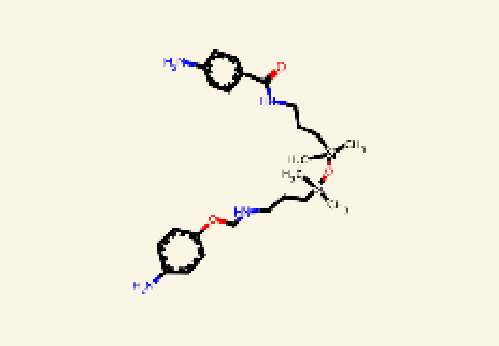 C[Si](C)(CCCNCOc1ccc(N)cc1)O[Si](C)(C)CCCNC(=O)c1ccc(N)cc1